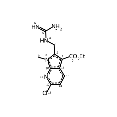 CCOC(=O)c1c(CNC(=N)N)n(C)c2nc(Cl)ccc12